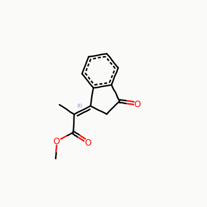 COC(=O)/C(C)=C1\CC(=O)c2ccccc21